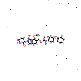 CC(C)Oc1c(COC(=O)Nc2ccc(Oc3ccccc3F)cc2)ccc2c1C(=O)N(C1CCC(=O)NC1=O)C2